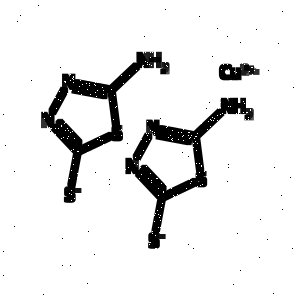 Nc1nnc([S-])s1.Nc1nnc([S-])s1.[Cu+2]